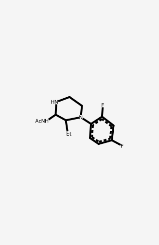 CCC1C(NC(C)=O)NCCN1c1ccc(F)cc1F